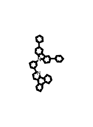 c1ccc(-c2ccc3c(c2)c2cc(-c4ccccc4)ccc2n3-c2cccc(-c3ccc4c5ccccc5c5ccccc5c4n3)c2)cc1